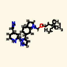 C[Si](C)(C)CCOCn1ccc2ccc(-c3ccnn3-c3cc(C#N)ccn3)cc21